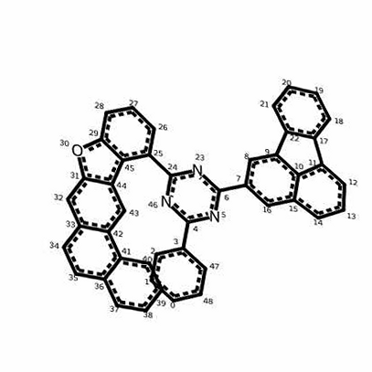 c1ccc(-c2nc(-c3cc4c5c(cccc5c3)-c3ccccc3-4)nc(-c3cccc4oc5cc6ccc7ccccc7c6cc5c34)n2)cc1